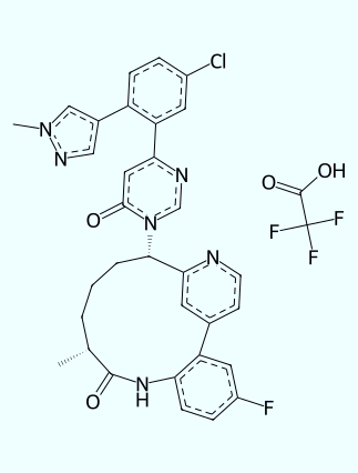 C[C@@H]1CCC[C@H](n2cnc(-c3cc(Cl)ccc3-c3cnn(C)c3)cc2=O)c2cc(ccn2)-c2cc(F)ccc2NC1=O.O=C(O)C(F)(F)F